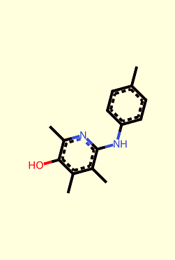 Cc1ccc(Nc2nc(C)c(O)c(C)c2C)cc1